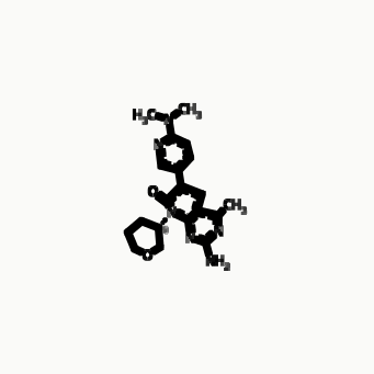 Cc1nc(N)nc2c1cc(-c1ccc(N(C)C)nc1)c(=O)n2[C@H]1CCCOC1